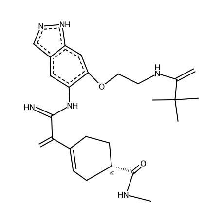 C=C(C(=N)Nc1cc2cn[nH]c2cc1OCCNC(=C)C(C)(C)C)C1=CC[C@@H](C(=O)NC)CC1